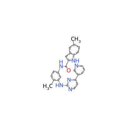 Cc1ccc2[nH]c(C(=O)Nc3ccc(C)c(Nc4nccc(-c5cccnc5)n4)c3)cc2c1